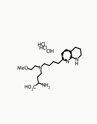 COCCN(CCCCc1ccc2c(n1)NCCC2)CCC(N)C(=O)O.Cl.Cl.Cl